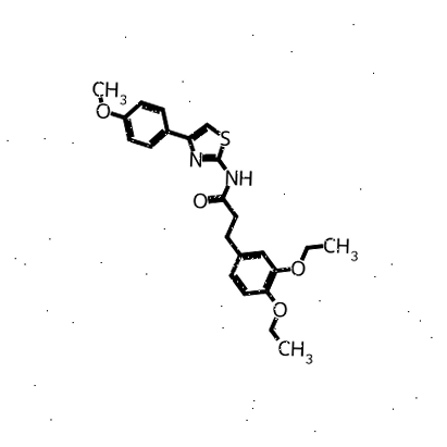 CCOc1ccc(CCC(=O)Nc2nc(-c3ccc(OC)cc3)cs2)cc1OCC